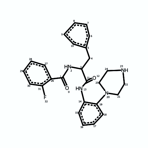 O=C(NC(Cc1ccccc1)C(=O)Nc1ccccc1N1CCNCC1)c1ccccc1F